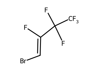 FC(=CBr)C(F)(F)C(F)(F)F